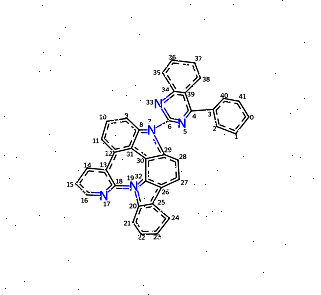 c1ccc(-c2nc(-n3c4cccc5c6cccnc6n6c7ccccc7c7ccc3c(c54)c76)nc3ccccc23)cc1